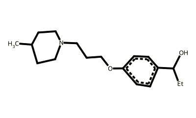 CCC(O)c1ccc(OCCCN2CCC(C)CC2)cc1